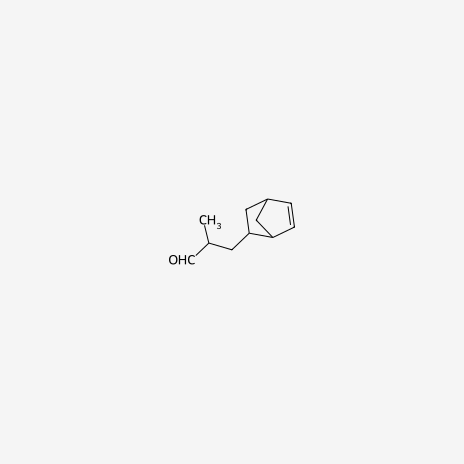 CC(C=O)CC1CC2C=CC1C2